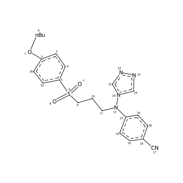 CCCCOc1ccc(S(=O)(=O)CCCN(c2ccc(C#N)cc2)n2cnnc2)cc1